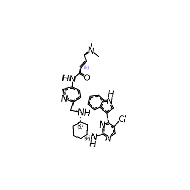 CN(C)C/C=C/C(=O)Nc1ccc(CN[C@H]2CCC[C@@H](Nc3ncc(Cl)c(-c4c[nH]c5ccccc45)n3)C2)nc1